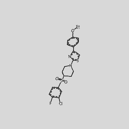 CCOc1ccc(-c2csc(N3CCC(S(=O)(=O)c4ccc(F)c(Cl)c4)CC3)n2)cc1